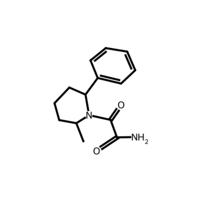 CC1CCCC(c2ccccc2)N1C(=O)C(N)=O